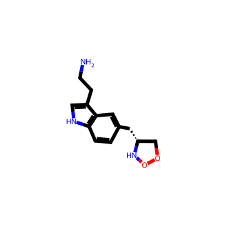 NCCc1c[nH]c2ccc(C[C@@H]3COON3)cc12